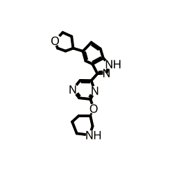 c1cc2[nH]nc(-c3cncc(O[C@@H]4CCCNC4)n3)c2cc1C1CCOCC1